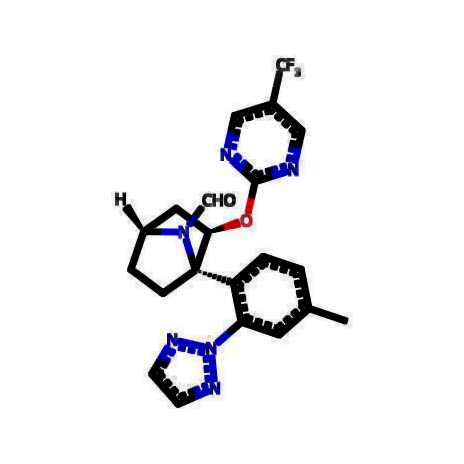 Cc1ccc([C@@]23CC[C@H](C[C@H]2Oc2ncc(C(F)(F)F)cn2)N3C=O)c(-n2nccn2)c1